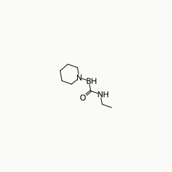 CCNC(=O)BN1CCCCC1